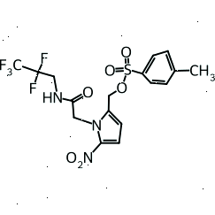 Cc1ccc(S(=O)(=O)OCc2ccc([N+](=O)[O-])n2CC(=O)NCC(F)(F)C(F)(F)F)cc1